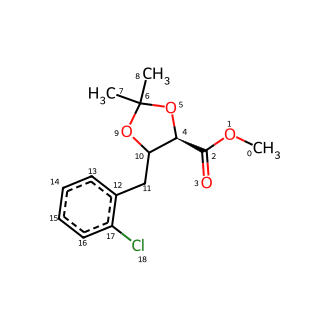 COC(=O)[C@@H]1OC(C)(C)OC1Cc1ccccc1Cl